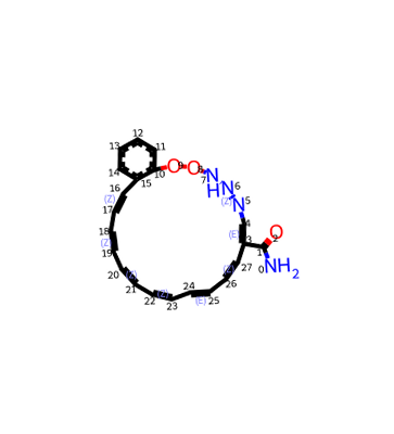 NC(=O)C1=C/N=N\NOOc2ccccc2/C=C\C=C/C=C\C=C/C=C/C=C\1